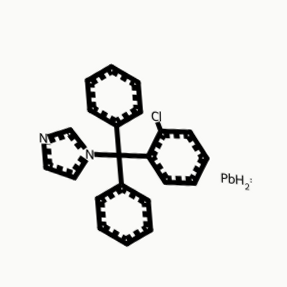 Clc1ccccc1C(c1ccccc1)(c1ccccc1)n1ccnc1.[PbH2]